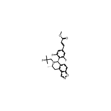 COC(=O)/C=C/c1cc(F)c([C@H]2c3ccc4oncc4c3C[C@H](C)N2CC(C)(C)F)c(F)c1